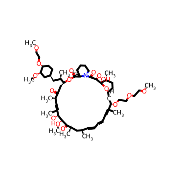 COCCOCCO[C@H]1C[C@@H]2CC[C@@H](C)[C@@](O)(O2)C(=O)C(=O)N2CCCC[C@H]2C(=O)O[C@H]([C@H](C)C[C@@H]2CC[C@@H](OCCOC)[C@H](OC)C2)CC(=O)[C@H](C)/C=C(\C)[C@@H](O)[C@@H](OC)C(=O)[C@H](C)C[C@H](C)/C=C/C=C/C=C/1C